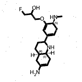 CN[C@H]1CC=C(C2CC[C@@H]3CC(N)=CC[C@@H]3N2)C=C1OCC(O)CF